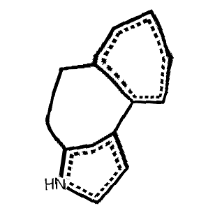 c1ccc2c(c1)CCc1[nH]ccc1-2